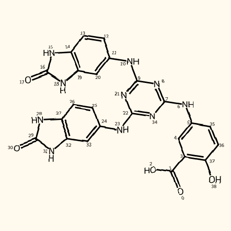 O=C(O)c1cc(Nc2nc(Nc3ccc4[nH]c(=O)[nH]c4c3)nc(Nc3ccc4[nH]c(=O)[nH]c4c3)n2)ccc1O